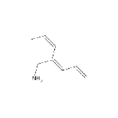 C=C/C=C(\C=C/C)CN